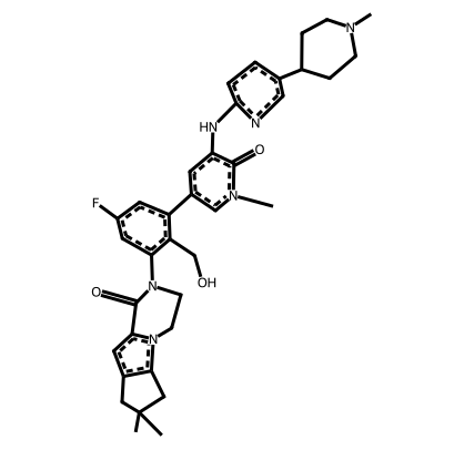 CN1CCC(c2ccc(Nc3cc(-c4cc(F)cc(N5CCn6c(cc7c6CC(C)(C)C7)C5=O)c4CO)cn(C)c3=O)nc2)CC1